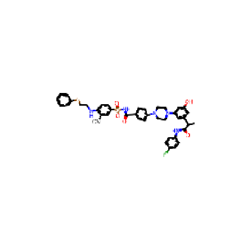 CC(C(=O)Nc1ccc(F)cc1)c1cc(O)cc(N2CCN(c3ccc(C(=O)NS(=O)(=O)c4ccc(NCCSc5ccccc5)c(N=O)c4)cc3)CC2)c1